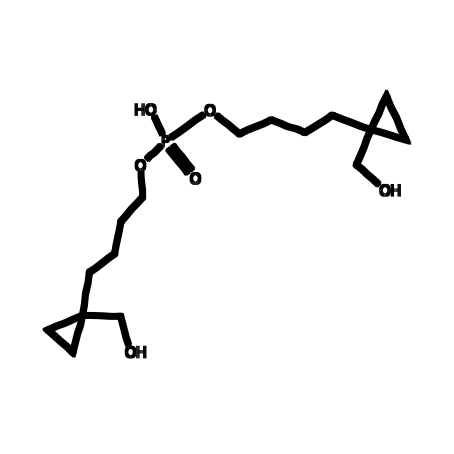 O=P(O)(OCCCCC1(CO)CC1)OCCCCC1(CO)CC1